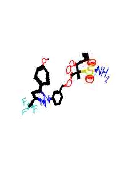 CCC(=O)C(C)(C(=O)OCc1cccc(-n2nc(C(F)(F)F)cc2-c2ccc(OC)cc2)c1)S(N)(=O)=O